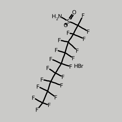 Br.NS(=O)(=O)C(F)(F)C(F)(F)C(F)(F)C(F)(F)C(F)(F)C(F)(F)C(F)(F)C(F)(F)C(F)(F)F